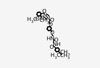 COc1cccc(C(=O)N2CCN(C(=O)COc3cccc(OCCNC(=O)CNC(=O)c4ccc(C(C)(C)C)cc4)c3)CC2)c1OC